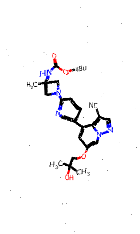 CC(C)(O)COc1cc(-c2ccc(N3CC(C)(NC(=O)OC(C)(C)C)C3)nc2)c2c(C#N)cnn2c1